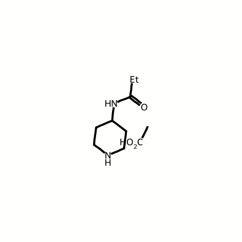 CC(=O)O.CCC(=O)NC1CCNCC1